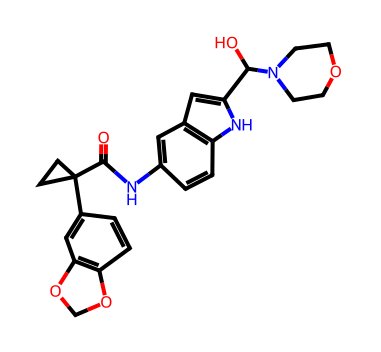 O=C(Nc1ccc2[nH]c(C(O)N3CCOCC3)cc2c1)C1(c2ccc3c(c2)OCO3)CC1